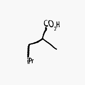 CC(C)CC(C)C(=O)O